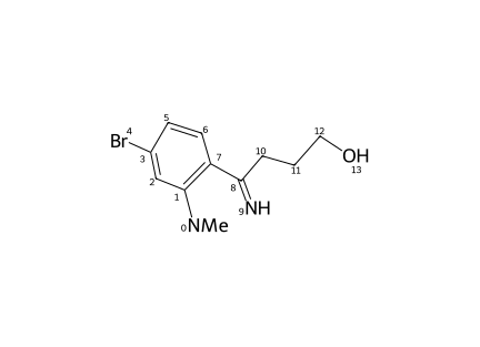 CNc1cc(Br)ccc1C(=N)CCCO